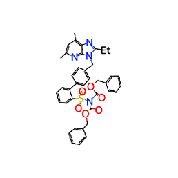 CCc1nc2c(C)cc(C)nc2n1Cc1ccc(-c2ccccc2S(=O)(=O)N(C(=O)OCc2ccccc2)C(=O)OCc2ccccc2)cc1